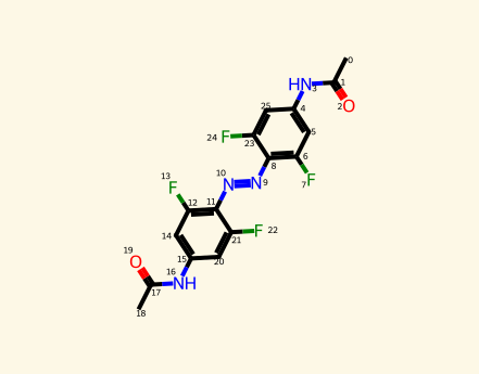 CC(=O)Nc1cc(F)c(N=Nc2c(F)cc(NC(C)=O)cc2F)c(F)c1